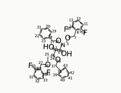 O[C@@H]([C@H](O)[C@@H](COCc1c(F)cccc1F)OCc1ccccc1)[C@@H](COCc1c(F)cccc1F)OCc1ccccc1